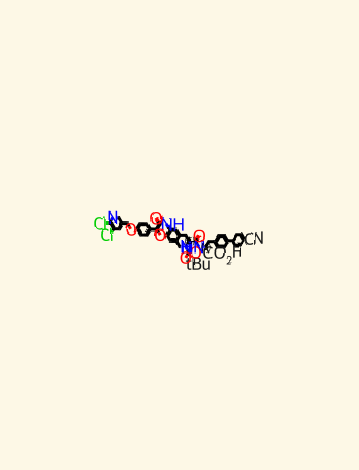 CC(C)(C)OC(=O)N1Cc2cc3c(cc2C[C@H]1C(=O)N[C@@H](Cc1ccc(-c2ccc(C#N)cc2)cc1)C(=O)O)NC(=O)C(c1ccc(OCc2cnc(Cl)c(Cl)c2)cc1)O3